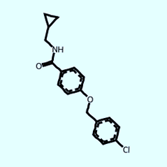 O=C(NCC1CC1)c1ccc(OCc2ccc(Cl)cc2)cc1